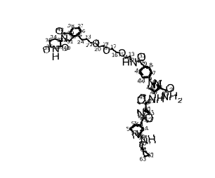 NC(=O)c1nn(-c2ccc(C(=O)NCCOCCOCCOCCCc3cccc4c3CN(C3CCC(=O)NC3=O)C4=O)cc2)cc1NC(=O)c1coc(-c2ccnc(NCC3CC3)c2)n1